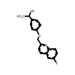 CCCC(C(=O)O)c1ccc(OCc2ccc3cc(F)ccc3n2)cc1